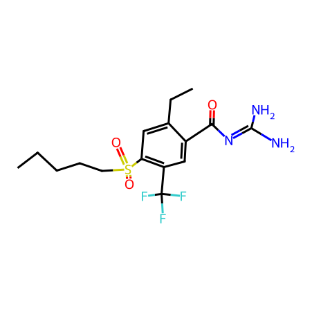 CCCCCS(=O)(=O)c1cc(CC)c(C(=O)N=C(N)N)cc1C(F)(F)F